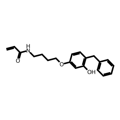 C=CC(=O)NCCCCOc1ccc(Cc2ccccc2)c(O)c1